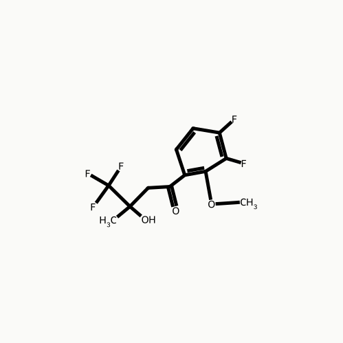 COc1c(C(=O)CC(C)(O)C(F)(F)F)ccc(F)c1F